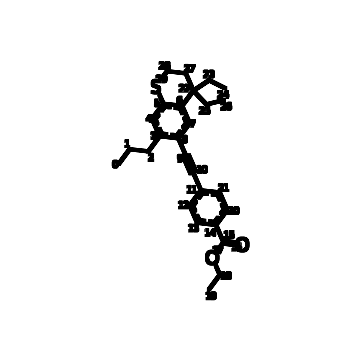 CCCc1cc2c(cc1C#Cc1ccc(C(=O)OCC)cc1)C(CC)(CC)CCS2